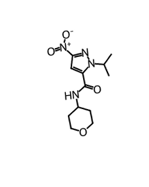 CC(C)n1nc([N+](=O)[O-])cc1C(=O)NC1CCOCC1